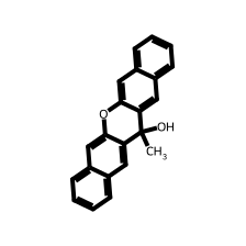 CC1(O)c2cc3ccccc3cc2Oc2cc3ccccc3cc21